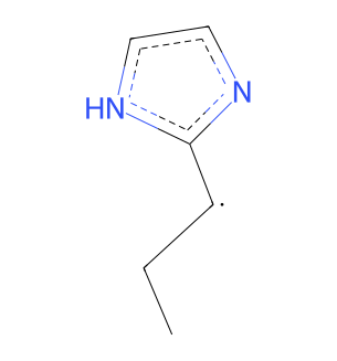 CC[CH]c1ncc[nH]1